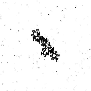 CN(CC(O)(CNC(=O)c1cnn(-c2ccc(F)cc2)c1N)C(F)(F)F)C(=O)c1ncccc1F